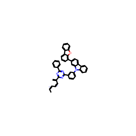 C=C(/C=C\C=C/C)c1nc(-c2ccccc2)nc(-c2cccc(-n3c4ccccc4c4ccc(-c5cccc6c5oc5ccccc56)cc43)c2)n1